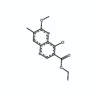 CCOC(=O)c1cnc2cc(C)c(OC)nc2c1Cl